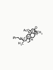 CC(=O)OC1CC(=O)N(C)[C@@H]2CC[C@H]3[C@@H]4CC[C@H]([C@H](C)CCCC(C)C)[C@@]4(C)CC[C@@H]3[C@@]12C